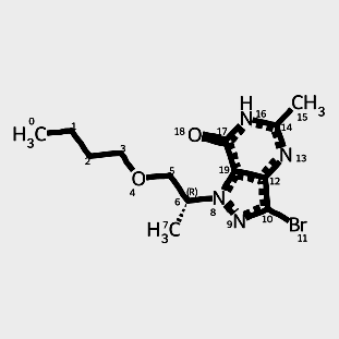 CCCCOC[C@@H](C)n1nc(Br)c2nc(C)[nH]c(=O)c21